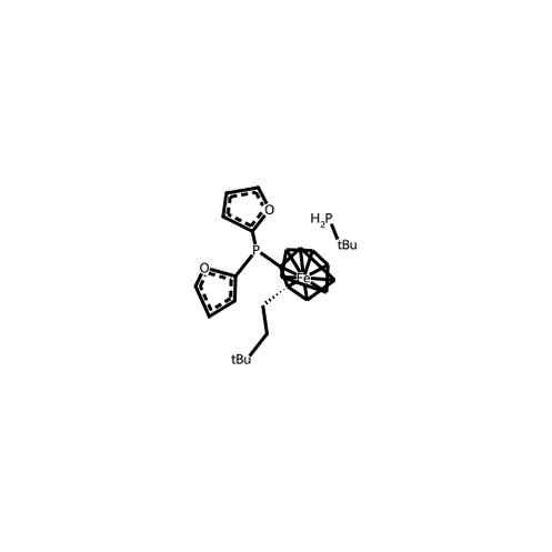 CC(C)(C)CC[C@]12[CH]3[CH]4[CH]5[C]1(P(c1ccco1)c1ccco1)[Fe]45321678[CH]2[CH]1[CH]6[CH]7[CH]28.CC(C)(C)P